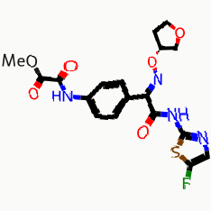 COC(=O)C(=O)Nc1ccc(/C(=N\O[C@@H]2CCOC2)C(=O)Nc2ncc(F)s2)cc1